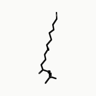 CCCCCCCSCCCC(C)O[SiH](C)C